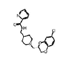 O=C(NCC1CCN(C[C@H]2COc3ccc(Cl)cc3O2)CC1)c1ccccn1